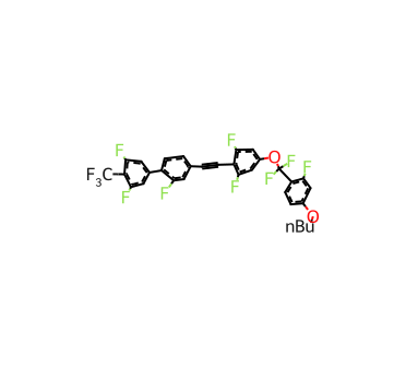 CCCCOc1ccc(C(F)(F)Oc2cc(F)c(C#Cc3ccc(-c4cc(F)c(C(F)(F)F)c(F)c4)c(F)c3)c(F)c2)c(F)c1